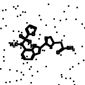 CN(c1cccc2cc(C3=NCC(CC(N)=O)S3)[nH]c12)S(=O)(=O)c1ccco1